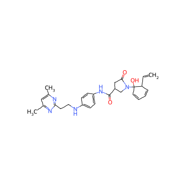 C=CC1C=CC=CC1(O)N1CC(C(=O)Nc2ccc(NCCc3nc(C)cc(C)n3)cc2)CC1=O